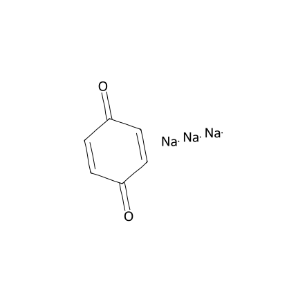 O=C1C=CC(=O)C=C1.[Na].[Na].[Na]